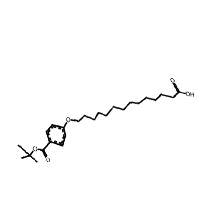 CC(C)(C)OC(=O)c1ccc(OCCCCCCCCCCCCCC(=O)O)cc1